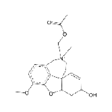 COc1ccc2c3c1OC1CC(O)C=CC31CC[N+](C)(COC(C)=O)C2